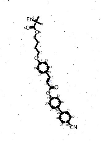 CCC(C)(C)C(=O)OCCCCOc1ccc(/C=C/C(=O)Oc2ccc(-c3ccc(C#N)cc3)cc2)cc1